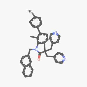 Cc1c(-c2ccc(C#N)cc2)ccc2c1N(Cc1ccc3ccccc3c1)C(=O)C2(Cc1ccncc1)Cc1ccncc1